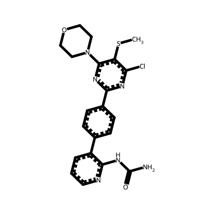 CSc1c(Cl)nc(-c2ccc(-c3cccnc3NC(N)=O)cc2)nc1N1CCOCC1